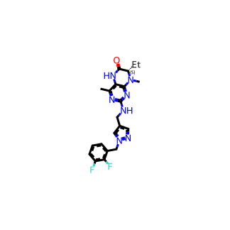 CC[C@H]1C(=O)Nc2c(C)nc(NCc3cnn(Cc4cccc(F)c4F)c3)nc2N1C